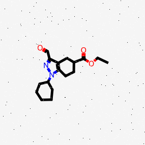 CCOC(=O)C1CCc2c(c(C=O)nn2C2CCCCC2)C1